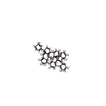 c1ccc(-c2ccc(-c3ccccc3N(c3ccccc3-c3oc4ccccc4c3-c3ccccc3)c3cccc4ccccc34)cc2)cc1